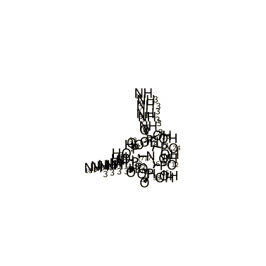 N.N.N.N.N.N.N.N.N.N.N.N.O=P(O)(O)C(N(C(P(=O)(O)O)P(=O)(O)O)C(P(=O)(O)O)P(=O)(O)O)P(=O)(O)O